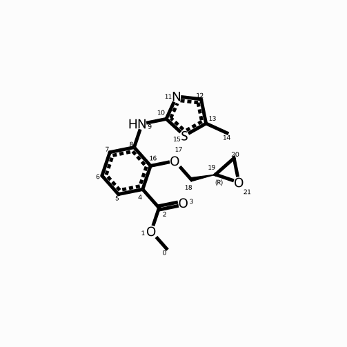 COC(=O)c1cccc(Nc2ncc(C)s2)c1OC[C@H]1CO1